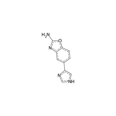 Nc1nc2cc(-c3c[nH]cn3)ccc2o1